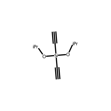 C#C[Si](C#C)(OC(C)C)OC(C)C